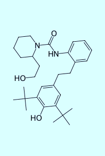 CC(C)(C)c1cc(CCc2ccccc2NC(=O)N2CCCCC2CCO)cc(C(C)(C)C)c1O